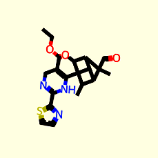 CCOC(=O)C1=C(C23C(C)C4C2C(C3C)C4(C)C=O)NC(c2nccs2)=NC1